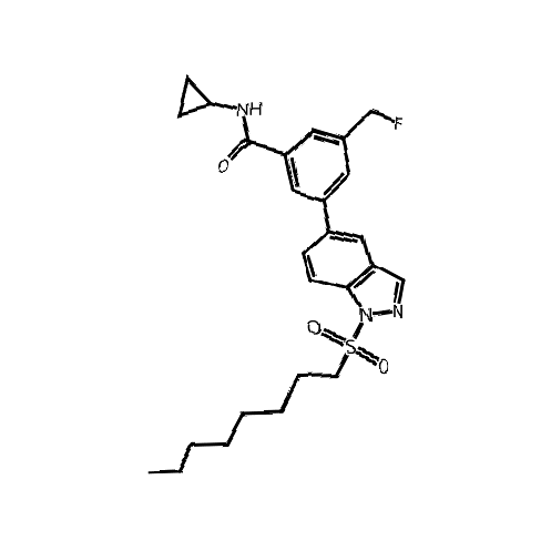 CCCCCCCCS(=O)(=O)n1ncc2cc(-c3cc(CF)cc(C(=O)NC4CC4)c3)ccc21